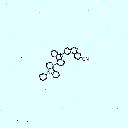 N#Cc1ccc2c(ccc3ccc(-n4c5ccccc5c5c(-c6cccc7c6c6ccccc6n7-c6ccccc6)cccc54)cc32)c1